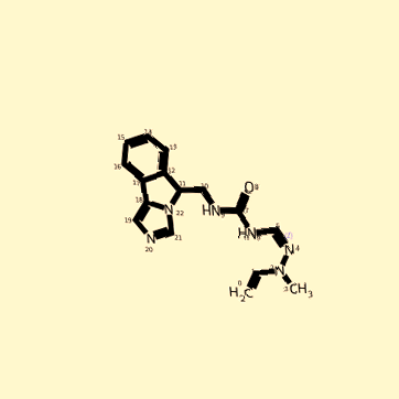 C=CN(C)/N=C\NC(=O)NCC1c2ccccc2-c2cncn21